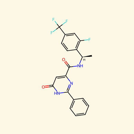 C[C@@H](NC(=O)c1cc(=O)[nH]c(-c2ccccc2)n1)c1ccc(C(F)(F)F)cc1F